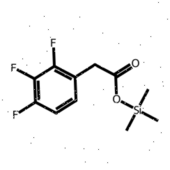 C[Si](C)(C)OC(=O)Cc1ccc(F)c(F)c1F